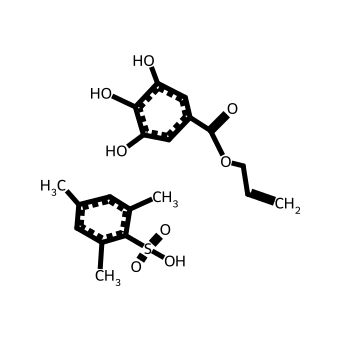 C=CCOC(=O)c1cc(O)c(O)c(O)c1.Cc1cc(C)c(S(=O)(=O)O)c(C)c1